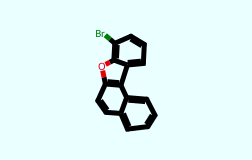 Brc1cccc2c1oc1ccc3ccccc3c12